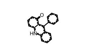 O=c1cccc2[nH]c3ccccc3c(-c3ccccc3)c1-2